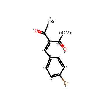 CCCCC(=O)C(=Cc1ccc(Br)cc1)C(=O)OC